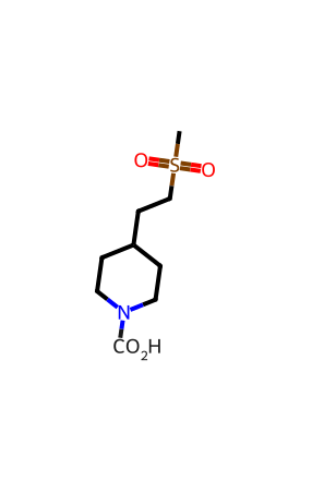 CS(=O)(=O)CCC1CCN(C(=O)O)CC1